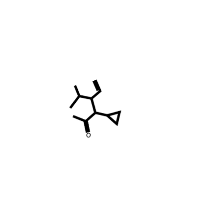 C=CC(C(C)C)C(C(C)=O)C1CC1